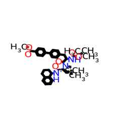 COC(=O)c1ccc(-c2ccc(CC(NC(=O)OC(C)(C)C)C(=O)N3C[Si](C)(C)C[C@H]3C(=O)NC3CCCc4ccccc43)cc2)cc1